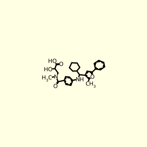 Cc1oc(-c2ccccc2)cc1C(Nc1ccc(C(=O)N(C)CC(O)C(=O)O)cc1)C1CCCCC1